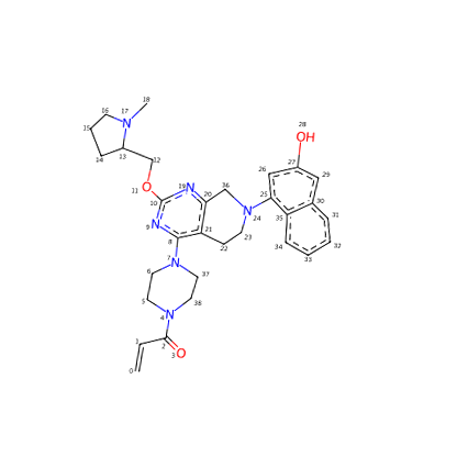 C=CC(=O)N1CCN(c2nc(OCC3CCCN3C)nc3c2CCN(c2cc(O)cc4ccccc24)C3)CC1